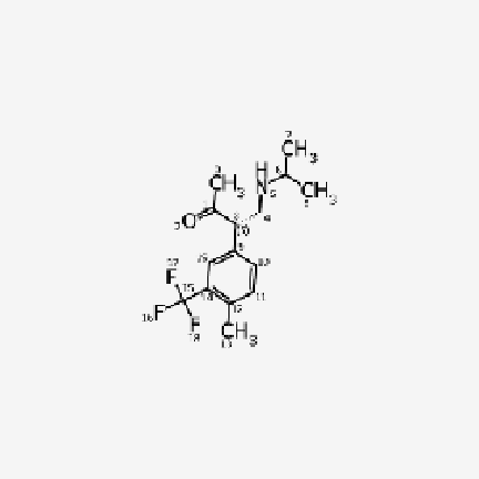 CC(=O)[C@H](CNC(C)C)c1ccc(C)c(C(F)(F)F)c1